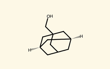 OCC12CC3C[C@H](C1)C[C@@H](C3)C2